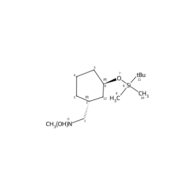 CN(O)C[C@@H]1CCC[C@@H](O[Si](C)(C)C(C)(C)C)C1